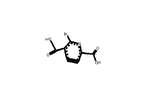 O=C(O)c1c#cc(C(=O)O)c(Br)n1